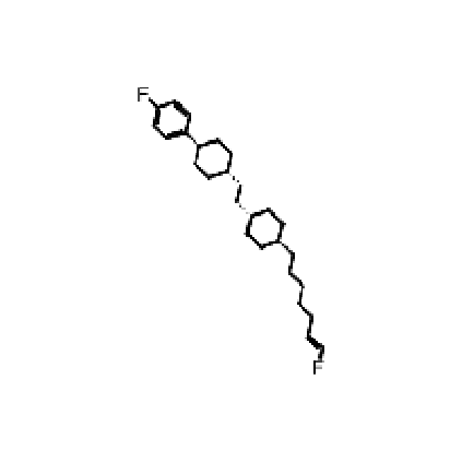 F/C=C/CCCCC[C@H]1CC[C@H](CC[C@H]2CC[C@H](c3ccc(F)cc3)CC2)CC1